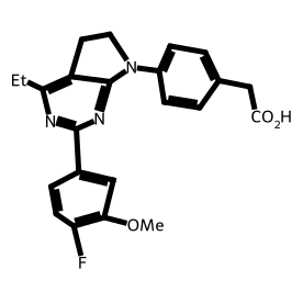 CCc1nc(-c2ccc(F)c(OC)c2)nc2c1CCN2c1ccc(CC(=O)O)cc1